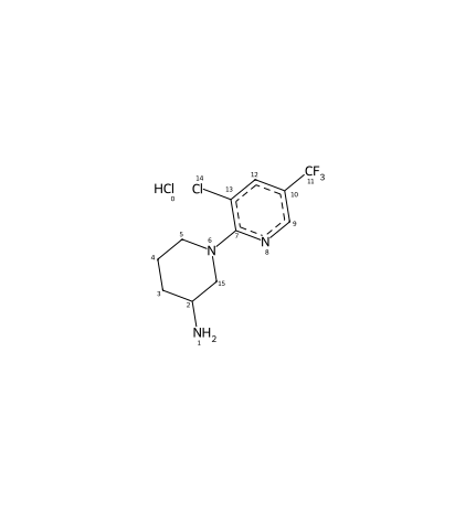 Cl.NC1CCCN(c2ncc(C(F)(F)F)cc2Cl)C1